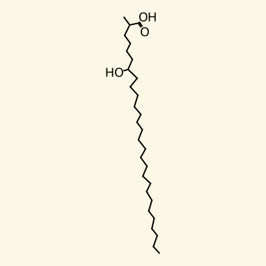 CCCCCCCCCCCCCCCCCCCCCC(O)CCCCC(C)C(=O)O